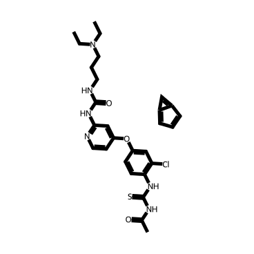 CCN(CC)CCCNC(=O)Nc1cc(Oc2ccc(NC(=S)NC(C)=O)c(Cl)c2)ccn1.c1cc2cc-2c1